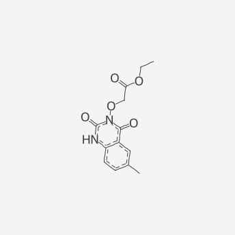 CCOC(=O)COn1c(=O)[nH]c2ccc(C)cc2c1=O